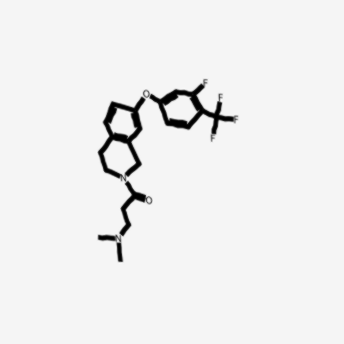 CN(C)CCC(=O)N1CCc2ccc(Oc3ccc(C(F)(F)F)c(F)c3)cc2C1